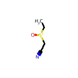 CC[S+]([O-])CC#N